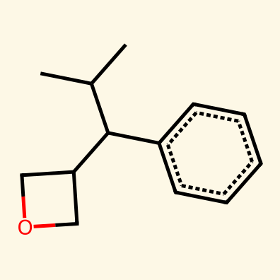 CC(C)C(c1ccccc1)C1COC1